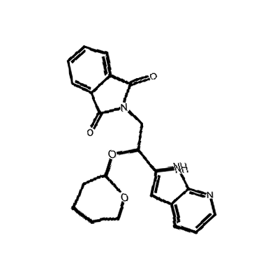 O=C1c2ccccc2C(=O)N1CC(OC1CCCCO1)c1cc2cccnc2[nH]1